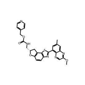 COc1cnc2c(-c3nc4ccc5c(c4s3)C[C@@H](CNC(=O)OCc3ccncc3)O5)cc(C)cc2n1